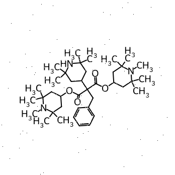 CN1C(C)(C)CC(OC(=O)C(Cc2ccccc2)(C(=O)OC2CC(C)(C)N(C)C(C)(C)C2)C2CC(C)(C)NC(C)(C)C2)CC1(C)C